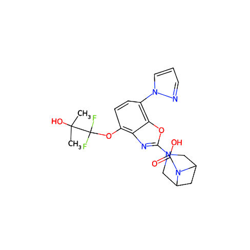 CC(C)(O)C(F)(F)Oc1ccc(-n2cccn2)c2oc(N3CC4CC(C3)N4C(=O)O)nc12